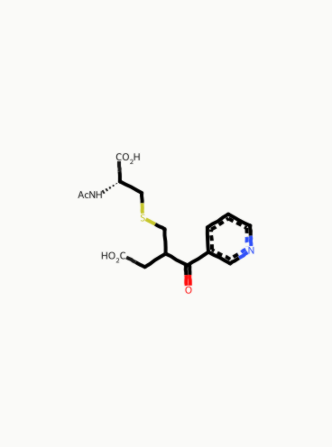 CC(=O)N[C@@H](CSCC(CC(=O)O)C(=O)c1cccnc1)C(=O)O